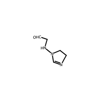 O=CCNN1C=NCC1